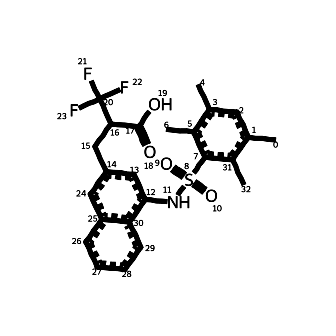 Cc1cc(C)c(C)c(S(=O)(=O)Nc2cc(CC(C(=O)O)C(F)(F)F)cc3ccccc23)c1C